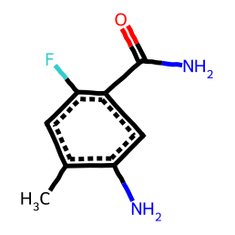 Cc1cc(F)c(C(N)=O)cc1N